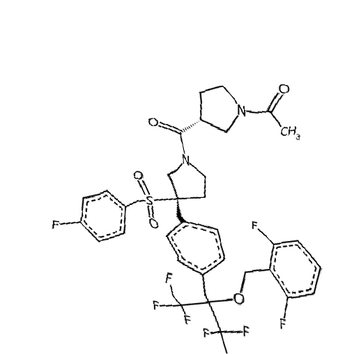 CC(=O)N1CC[C@@H](C(=O)N2CC[C@](c3ccc(C(OCc4c(F)cccc4F)(C(F)(F)F)C(F)(F)F)cc3)(S(=O)(=O)c3ccc(F)cc3)C2)C1